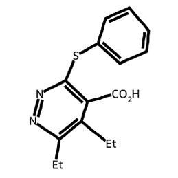 CCc1nnc(Sc2ccccc2)c(C(=O)O)c1CC